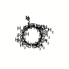 C/C=C/C[C@@H](C)[C@@H](O)[C@@H]1C(=O)N[C@H](CC)C(=O)N(C)[C@H](CSCCc2ccncc2)C(=O)N(C)[C@@H](CC(C)C)C(=O)N[C@H](C(C)C)C(=O)N(C)C(CC(C)C)C(=O)N[C@H](C)C(=O)N[C@@H](C)C(=O)N(C)[C@H](CC(C)C)C(=O)N(C)[C@H](CC(C)C)C(=O)N(C)[C@H](C(C)C)C(=O)N1C